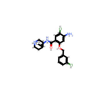 Nc1cc(OCc2cccc(Cl)c2)c(C(=O)NC2CN3CCC2CC3)cc1Cl